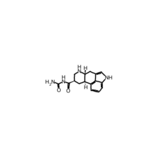 NC(=O)NC(=O)[C@H]1CN[C@@H]2Cc3c[nH]c4cccc(c34)[C@H]2C1